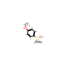 CN[S+]([O-])c1ccc(OC(F)(F)F)cc1